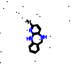 [2H]c1ccc2c(n1)Nc1ccccc1CN2